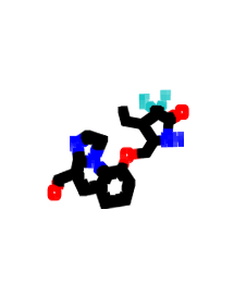 CCC1C(COc2cccc3cc(C=O)c4nccn4c23)NC(=O)C1(F)F